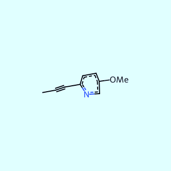 CC#Cc1ccc(OC)cn1